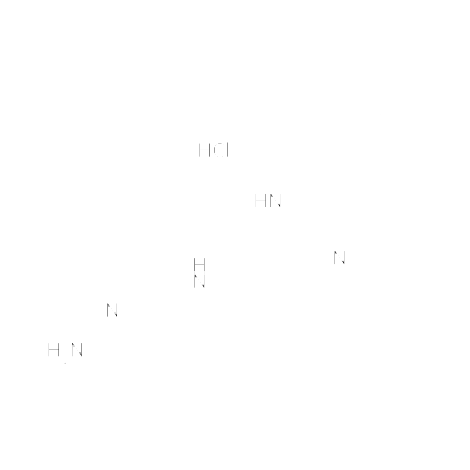 Cl.NN=CNCc1nc2ccccc2[nH]1